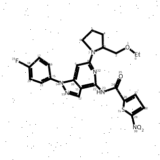 CCOCC1CCCN1c1cc2c(cnn2-c2ccc(F)cc2)c(NC(=O)c2ccc([N+](=O)[O-])s2)n1